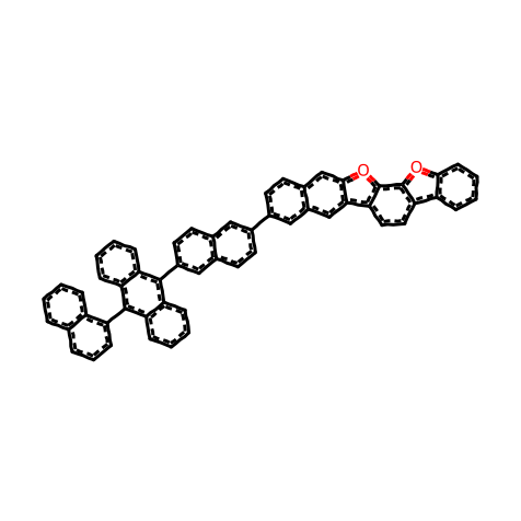 c1ccc2c(-c3c4ccccc4c(-c4ccc5cc(-c6ccc7cc8oc9c(ccc%10c%11ccccc%11oc%109)c8cc7c6)ccc5c4)c4ccccc34)cccc2c1